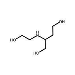 OC[CH]C(CO)NCCO